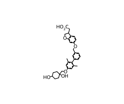 Cc1cc(OCC2(O)CCC(O)CC2)cc(C)c1-c1cccc(COc2ccc3c(c2)OCC3CC(=O)O)c1